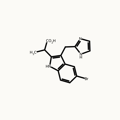 CC(C(=O)O)c1[nH]c2ccc(Br)cc2c1Cc1ncc[nH]1